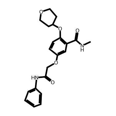 CNC(=O)c1cc(OCC(=O)Nc2ccccc2)ccc1OC1CCOCC1